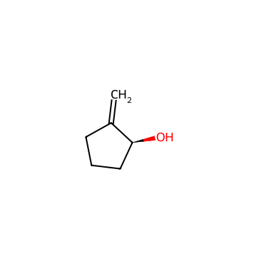 C=C1CCC[C@@H]1O